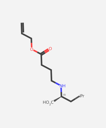 C=CCOC(=O)CCCN[C@@H](CC(C)C)C(=O)O